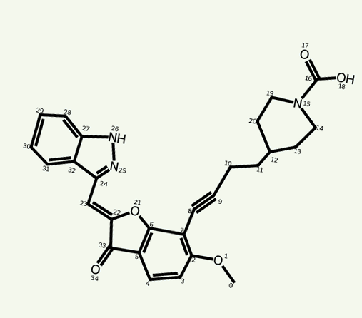 COc1ccc2c(c1C#CCCC1CCN(C(=O)O)CC1)O/C(=C\c1n[nH]c3ccccc13)C2=O